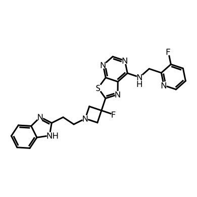 Fc1cccnc1CNc1ncnc2sc(C3(F)CN(CCc4nc5ccccc5[nH]4)C3)nc12